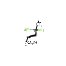 O=C(O)C=CC(F)(F)C(F)(F)F